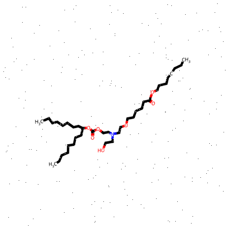 CCCCCCCCOC(=O)CCCCCOCCN(CCO)CCOC(=O)OC(CCCCCCCC)CCCCCCCC